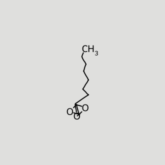 CCCCCCCC1OC23OC12O3